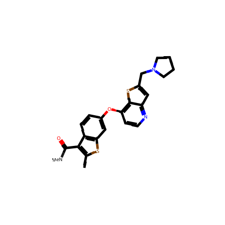 CNC(=O)c1c(C)sc2cc(Oc3ccnc4cc(CN5CCCC5)sc34)ccc12